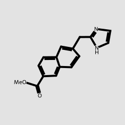 COC(=O)c1ccc2cc(Cc3ncc[nH]3)ccc2c1